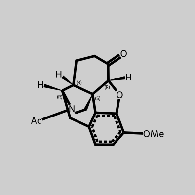 COc1ccc2c3c1O[C@H]1C(=O)CC[C@H]4[C@@H](C2)N(C(C)=O)CC[C@]314